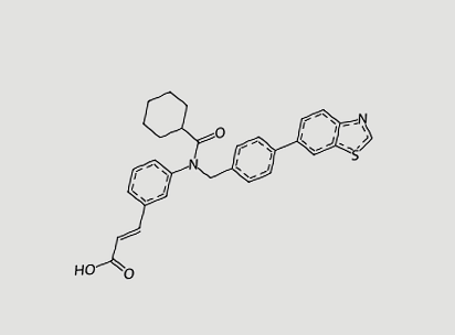 O=C(O)C=Cc1cccc(N(Cc2ccc(-c3ccc4ncsc4c3)cc2)C(=O)C2CCCCC2)c1